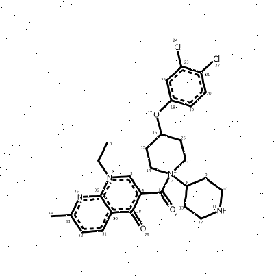 CCn1cc(C(=O)[N+]2(C3CCNCC3)CCC(Oc3ccc(Cl)c(Cl)c3)CC2)c(=O)c2ccc(C)nc21